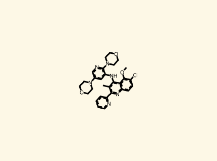 COc1c(Cl)ccc2nc(-c3ccccn3)c(C)c(Nc3cc(N4CCOCC4)cnc3N3CCOCC3)c12